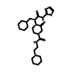 O=C(Nc1nccs1)[C@H](CC1CCCCC1)N1CCN(C(=S)NCCN2CCCCC2)CC1=O